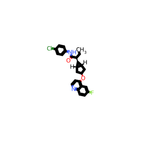 CCC(C(=O)Nc1ccc(Cl)cc1)[C@H]1[C@@H]2C[C@@H](Oc3ccnc4ccc(F)cc34)C[C@@H]21